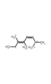 CC/C(C)=C(C)/C=C\N(C)C